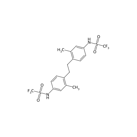 Cc1cc(NS(=O)(=O)C(F)(F)F)ccc1CCc1ccc(NS(=O)(=O)C(F)(F)F)cc1C